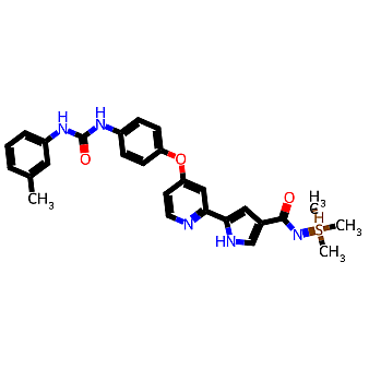 Cc1cccc(NC(=O)Nc2ccc(Oc3ccnc(-c4cc(C(=O)N=[SH](C)(C)C)c[nH]4)c3)cc2)c1